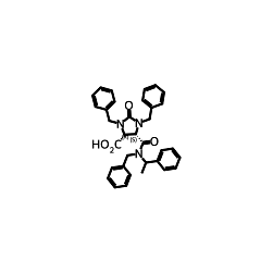 CC(c1ccccc1)N(Cc1ccccc1)C(=O)[C@@H]1[C@H](C(=O)O)N(Cc2ccccc2)C(=O)N1Cc1ccccc1